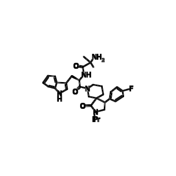 CC(C)N1CC(c2ccc(F)cc2)C2(CCCN(C(=O)[C@@H](Cc3c[nH]c4ccccc34)NC(=O)C(C)(C)N)C2)C1=O